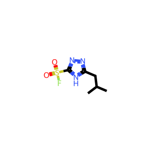 CC(C)Cc1nnc(S(=O)(=O)F)[nH]1